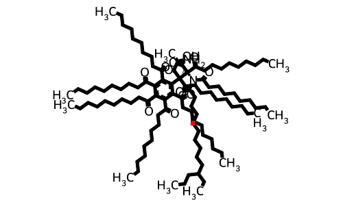 CCCCCCCCCC(=O)c1c(C(=O)CCCCCCCCC)c(C(=O)CCCCCCCCC)c(C(C(=O)CCCCCCCCC)(C(=O)C(C)N)[C@](C(=O)O)(C(=O)CCCCCCCCC)N(C(=O)CCCCCCCCC)C(=O)CCCCCCCCCC(CC)CCC)c(C(=O)CCCCCCCCC)c1C(=O)CCCCCCCCC